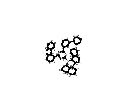 c1ccc(-c2cccc(-c3nc(-c4cccc5oc6ccccc6c45)nc(N4c5c(ccc6ccccc56)-c5cccc6cccc4c56)n3)c2)cc1